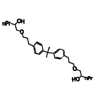 CCCC(O)COCCCc1ccc(C(C)(C)c2ccc(CCCOCC(O)CCC)cc2)cc1